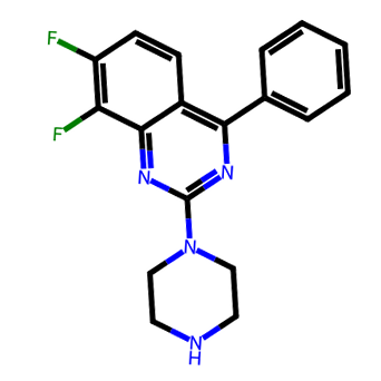 Fc1ccc2c(-c3ccccc3)nc(N3CCNCC3)nc2c1F